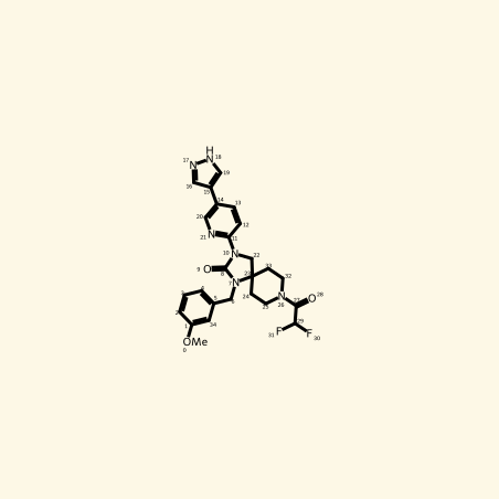 COc1cccc(CN2C(=O)N(c3ccc(-c4cn[nH]c4)cn3)CC23CCN(C(=O)C(F)F)CC3)c1